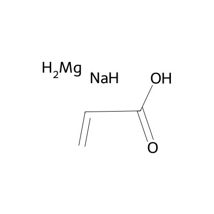 C=CC(=O)O.[MgH2].[NaH]